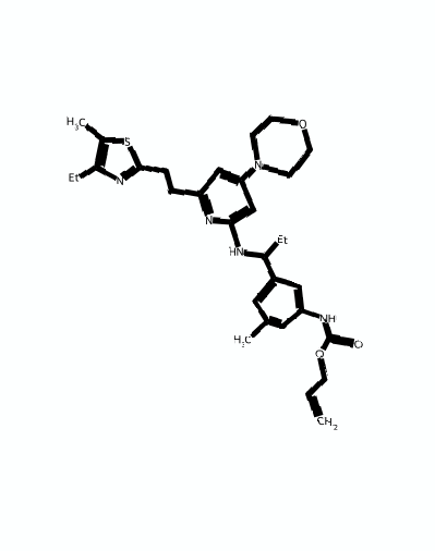 C=CCOC(=O)Nc1cc(C)cc(C(CC)Nc2cc(N3CCOCC3)cc(CCc3nc(CC)c(C)s3)n2)c1